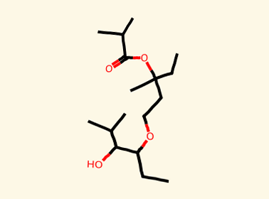 CCC(OCCC(C)(CC)OC(=O)C(C)C)C(O)C(C)C